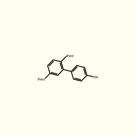 CCCC(C)c1ccc(C(C)CCC)c(-c2ccc(O)cc2)c1